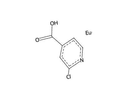 O=C(O)c1ccnc(Cl)c1.[Eu]